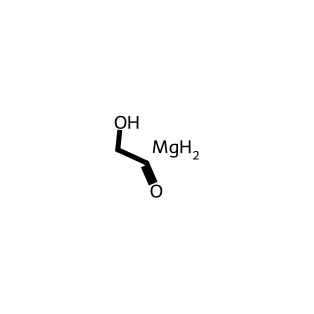 O=CCO.[MgH2]